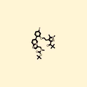 Cc1c(CCOc2cc(F)ccc2-c2ccc3ncc(CN(C)C(=O)OC(C)(C)C)n3c2)c(C(=O)C(C)(C)C)nn1C